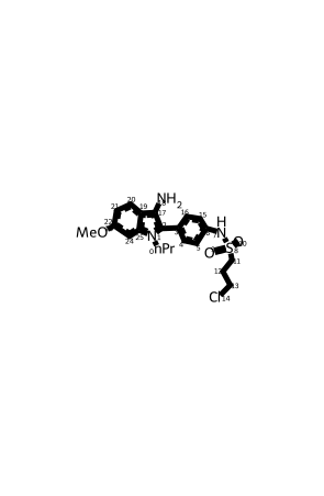 CCCn1c(-c2ccc(NS(=O)(=O)CCCCl)cc2)c(N)c2ccc(OC)cc21